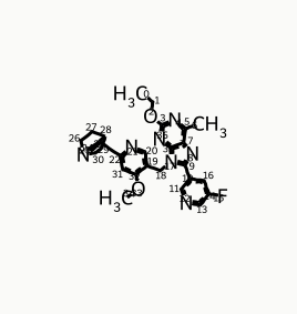 CCOc1nc(C)c2nc(-c3cncc(F)c3)n(Cc3cnc(C4=CN5CCC4CC5)cc3OC)c2n1